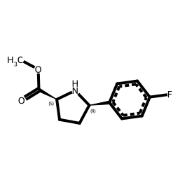 COC(=O)[C@@H]1CC[C@H](c2ccc(F)cc2)N1